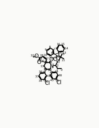 CCC(CO[Si](c1ccccc1)(c1ccccc1)C(C)(C)C)N1C(=O)[C@@](C)(C=CC(=O)OC)C[C@H](c2cccc(Cl)c2)[C@H]1c1ccc(Cl)cc1